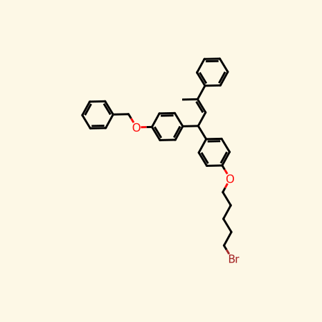 CC(=CC(c1ccc(OCCCCCBr)cc1)c1ccc(OCc2ccccc2)cc1)c1ccccc1